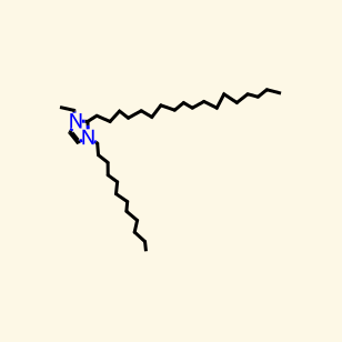 CCCCCCCCCCCCCCCCCCC1N(CC)C=CN1CCCCCCCCCCCC